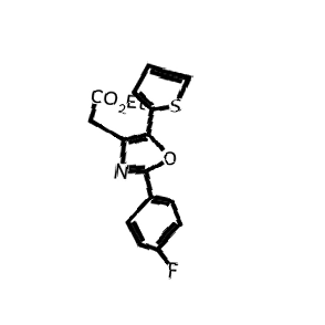 CCOC(=O)Cc1nc(-c2ccc(F)cc2)oc1-c1cccs1